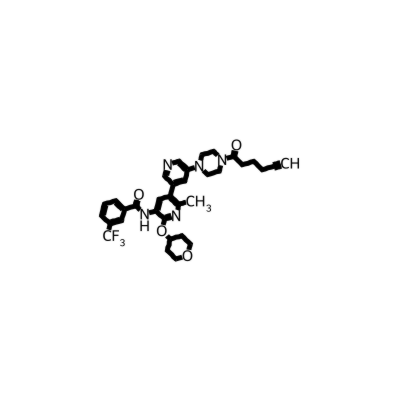 C#CCCCC(=O)N1CCN(c2cncc(-c3cc(NC(=O)c4cccc(C(F)(F)F)c4)c(OC4CCOCC4)nc3C)c2)CC1